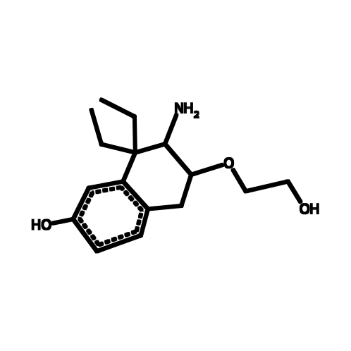 CCC1(CC)c2cc(O)ccc2CC(OCCO)C1N